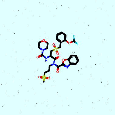 CS(=O)(=O)CCCN(C(=O)c1nc2ccccc2o1)C(=O)C(CS(=O)(=O)Cc1ccccc1OC(F)F)NC(=O)N1CCOCC1